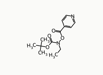 CCN(OC(=O)c1ccncc1)C(=O)OC(C)(C)C